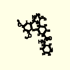 COc1cc(OC)cc(-c2nnc(C)n2-c2ccc(C(=O)Nc3cccnc3)cc2)c1